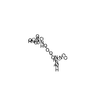 C[C@@H]1CN(c2nc(OCCOCCOCCOCCNc3cccc4c3C(=O)N(C3CCC(=O)NC3=O)C4=O)nc3c2CCN(c2cccc4ccccc24)C3)CCN1